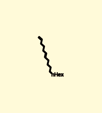 C=CCCCC=CCCCCCCCCCC